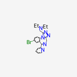 CCN(CC)Cc1nnc2n1-c1ccc(Br)cc1C(c1ccccn1)=NC2